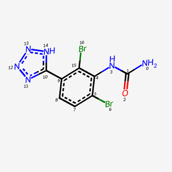 NC(=O)Nc1c(Br)ccc(-c2nnn[nH]2)c1Br